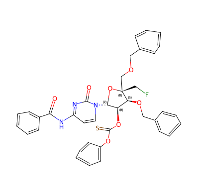 O=C(Nc1ccn([C@@H]2O[C@](CF)(COCc3ccccc3)[C@@H](OCc3ccccc3)[C@H]2OC(=S)Oc2ccccc2)c(=O)n1)c1ccccc1